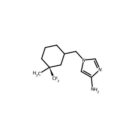 C[C@]1(C(F)(F)F)CCCC(Cn2cnc(N)c2)C1